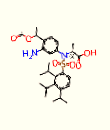 CC(C)c1ccc(S(=O)(=O)N(c2ccc(C(C)O[C]=O)c(N)c2)[C@@H](C)C(=O)O)c(C(C)C)c1C(C)C